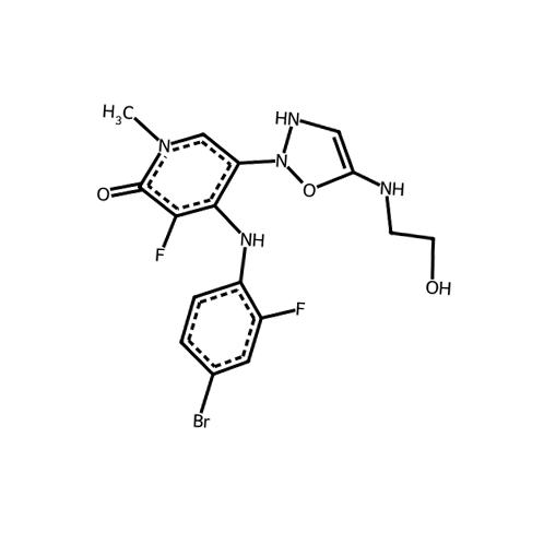 Cn1cc(N2NC=C(NCCO)O2)c(Nc2ccc(Br)cc2F)c(F)c1=O